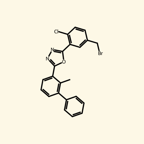 Cc1c(-c2ccccc2)cccc1-c1nnc(-c2cc(CBr)ccc2Cl)o1